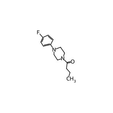 CCCC(=O)N1CCN(c2ccc(F)cc2)CC1